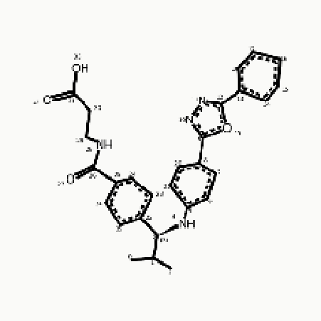 CC(C)[C@H](Nc1ccc(-c2nnc(-c3ccccc3)o2)cc1)c1ccc(C(=O)NCCC(=O)O)cc1